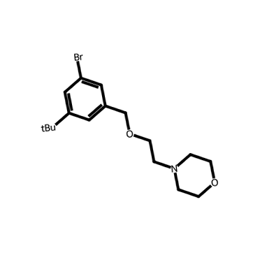 CC(C)(C)c1cc(Br)cc(COCCN2CCOCC2)c1